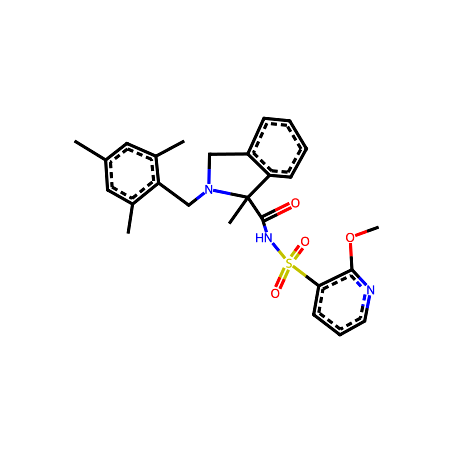 COc1ncccc1S(=O)(=O)NC(=O)C1(C)c2ccccc2CN1Cc1c(C)cc(C)cc1C